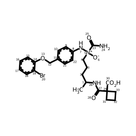 CC(CCC[N+]([O-])(Nc1ccc(COc2ccccc2Br)cc1)C(N)=O)NC(=O)C1(C(=O)O)CCC1